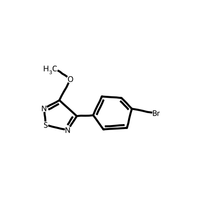 COc1nsnc1-c1ccc(Br)cc1